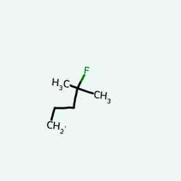 [CH2]CCC(C)(C)F